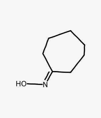 ON=C1CCCCCC1